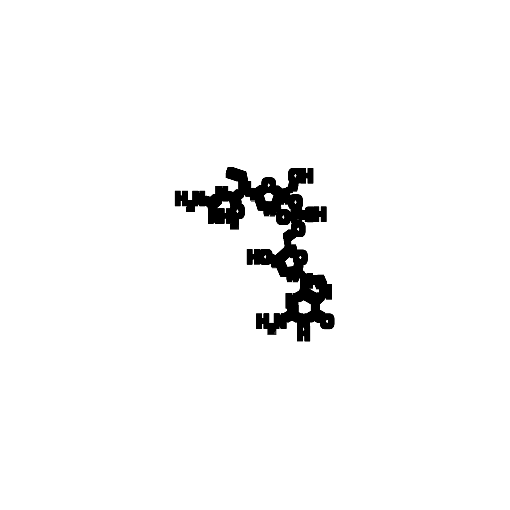 C=CN(C(=O)N=C(N)N)[C@H]1C[C@@H](OP(=O)(S)OC[C@H]2O[C@@H](n3cnc4c(=O)[nH]c(N)nc43)C[C@H]2O)[C@@H](CO)O1